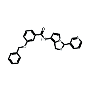 O=C(Nc1ccn2c1CSC2c1cccnc1)c1cccc(OCc2ccccc2)c1